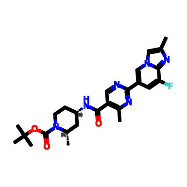 Cc1cn2cc(-c3ncc(C(=O)N[C@H]4CCN(C(=O)OC(C)(C)C)[C@@H](C)C4)c(C)n3)cc(F)c2n1